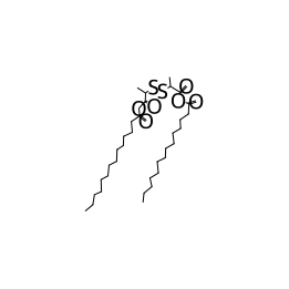 CCCCCCCCCCCCCC(=O)OC(=O)C(C)SSC(C)C(=O)OC(=O)CCCCCCCCCCCCC